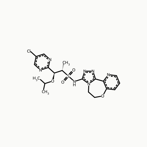 CC(C)O[C@@H](c1ncc(Cl)cn1)[C@H](C)S(=O)(=O)Nc1nnc2n1CCOc1cccnc1-2